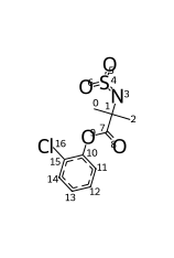 CC(C)(N=S(=O)=O)C(=O)Oc1ccccc1Cl